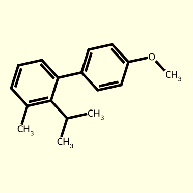 COc1ccc(-c2cccc(C)c2C(C)C)cc1